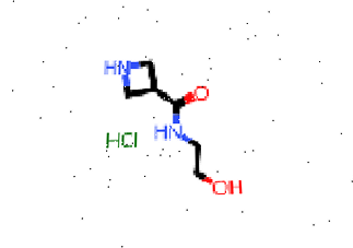 Cl.O=C(NCCO)C1CNC1